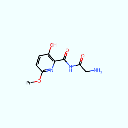 CC(C)Oc1ccc(O)c(C(=O)NC(=O)CN)n1